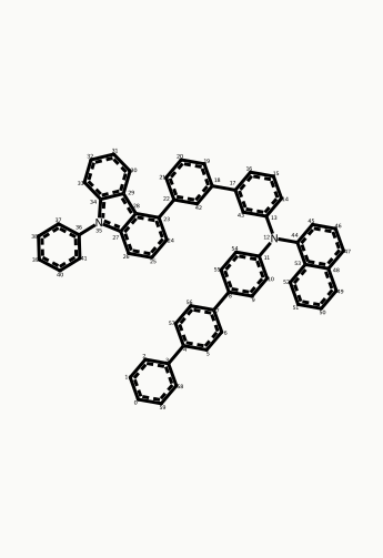 c1ccc(-c2ccc(-c3ccc(N(c4cccc(-c5cccc(-c6cccc7c6c6ccccc6n7-c6ccccc6)c5)c4)c4cccc5ccccc45)cc3)cc2)cc1